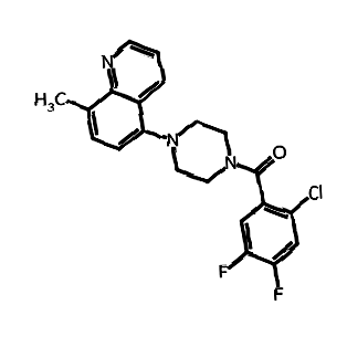 Cc1ccc(N2CCN(C(=O)c3cc(F)c(F)cc3Cl)CC2)c2cccnc12